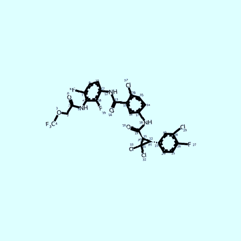 O=C(COC(F)(F)F)Nc1c(F)ccc(NC(=O)c2cc(NC(=O)[C@H]3[C@H](c4ccc(F)c(Cl)c4)C3(Cl)Cl)ccc2Cl)c1F